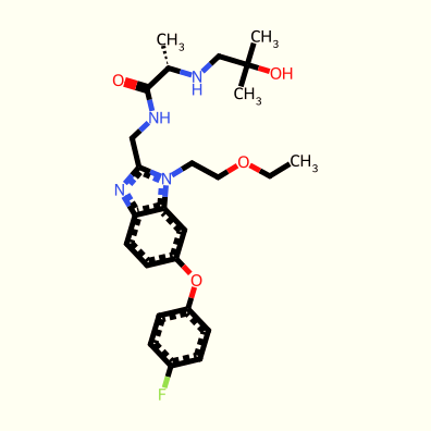 CCOCCn1c(CNC(=O)[C@H](C)NCC(C)(C)O)nc2ccc(Oc3ccc(F)cc3)cc21